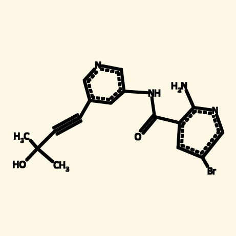 CC(C)(O)C#Cc1cncc(NC(=O)c2cc(Br)cnc2N)c1